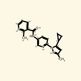 Cc1cc(C2CC2)n(-c2ccc(NC(=O)c3cccnc3C)cn2)n1